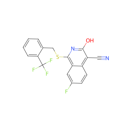 N#Cc1c(O)nc(SCc2ccccc2C(F)(F)F)c2cc(F)ccc12